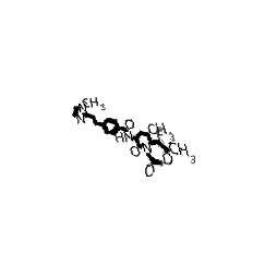 CC1CC(NC(=O)c2ccc(CCc3nccn3C)cc2)C(=O)N2CC(=O)COC(C)[C@@H](F)C12